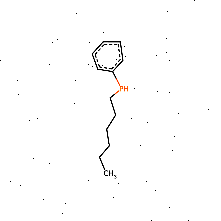 CCCCCCPc1ccccc1